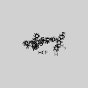 C[C@@]1(CN2CCNCC2)CCC(c2ccc(Cl)cc2)=C(CN2CCN(c3ccc(C(=O)NS(=O)(=O)c4ccc(N[C@H](CCN5CCOCC56CC6)CSc5ccccc5)c(S(=O)(=O)C(F)(F)F)c4)cc3)CC2)C1.Cl